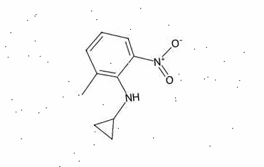 [CH2]c1cccc([N+](=O)[O-])c1NC1CC1